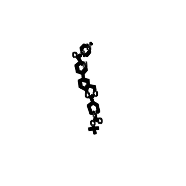 CN1CCN(C(=O)c2ccc(-c3ccc4c(c3)COC(C3CCN(C(=O)OC(C)(C)C)CC3)O4)cn2)CC1